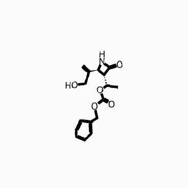 C=C(CO)[C@H]1NC(=O)[C@@H]1C(C)OC(=O)OCc1ccccc1